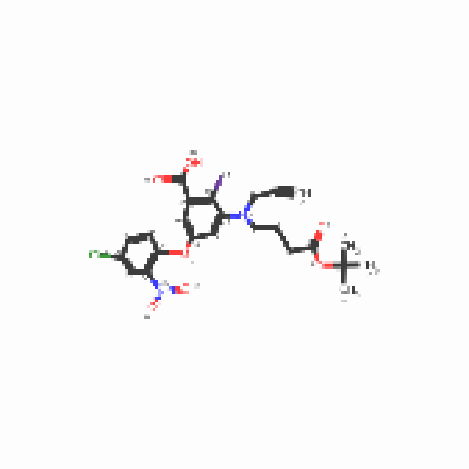 C#CCN(CCCC(=O)OC(C)(C)C)c1cc(Oc2ccc(Cl)cc2[N+](=O)[O-])cc(C(=O)O)c1I